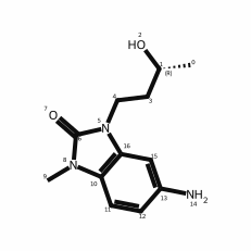 C[C@@H](O)CCn1c(=O)n(C)c2ccc(N)cc21